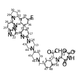 O=CC(=O)C1c2cc(CN3CCC(N4CCN(c5cccc(-c6cnc7ccc(N8CCCC8c8cccc(F)c8)nn67)n5)CC4)CC3)ccc2CN1C1CCC(=O)NC1=O